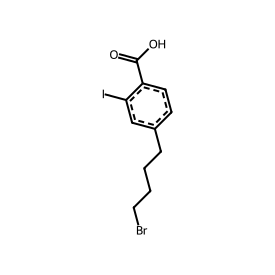 O=C(O)c1ccc(CCCCBr)cc1I